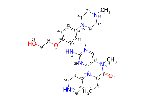 CCC1C(=O)N(C)c2cnc(Nc3cc(N4CCN(C)CC4)ccc3OCCO)nc2N1C1CCNCC1